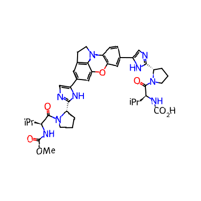 COC(=O)N[C@H](C(=O)N1CCC[C@H]1c1ncc(-c2cc3c4c(c2)Oc2cc(-c5cnc([C@@H]6CCCN6C(=O)[C@@H](NC(=O)O)C(C)C)[nH]5)ccc2N4CC3)[nH]1)C(C)C